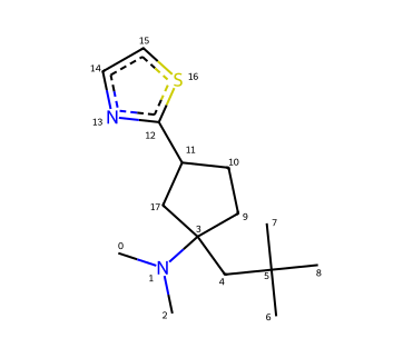 CN(C)C1(CC(C)(C)C)CCC(c2nccs2)C1